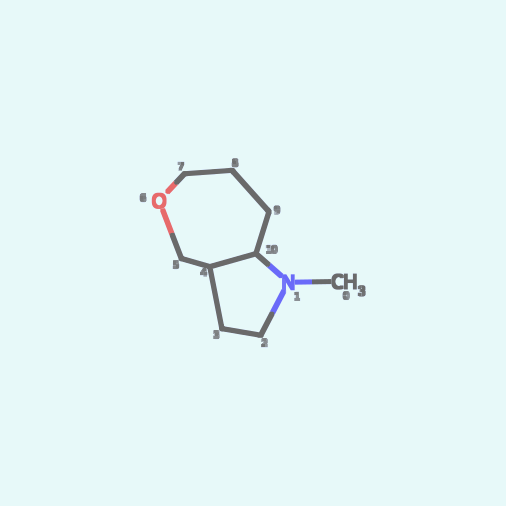 CN1CCC2COCCCC21